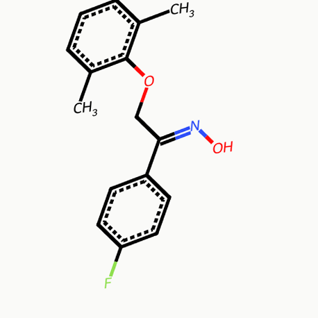 Cc1cccc(C)c1OCC(=NO)c1ccc(F)cc1